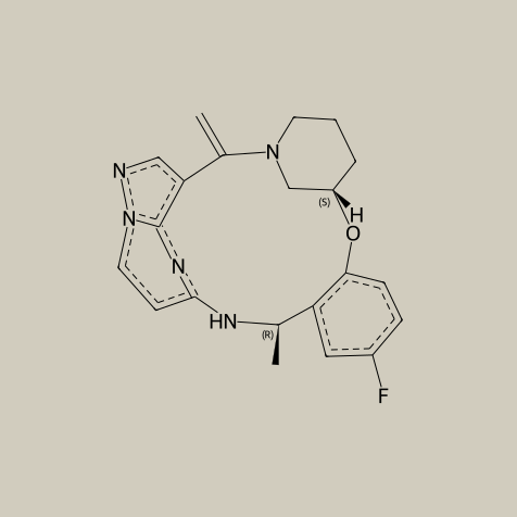 C=C1c2cnn3ccc(nc23)N[C@H](C)c2cc(F)ccc2O[C@H]2CCCN1C2